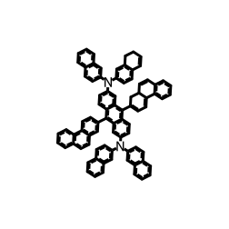 C1=Cc2ccc(N(c3ccc4ccccc4c3)c3ccc4c(-c5ccc6c(ccc7ccccc76)c5)c5cc(N(c6ccc7ccccc7c6)c6ccc7ccccc7c6)ccc5c(C5=CC=C6c7ccccc7C=CC6C5)c4c3)cc2CC1